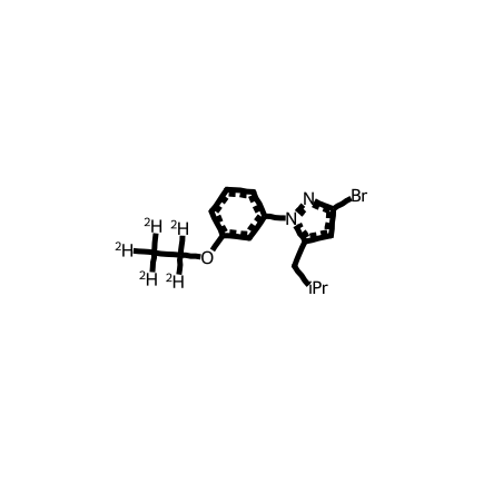 [2H]C([2H])([2H])C([2H])([2H])Oc1cccc(-n2nc(Br)cc2CC(C)C)c1